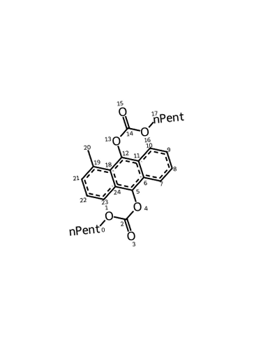 CCCCCOC(=O)Oc1c2ccccc2c(OC(=O)OCCCCC)c2c(C)cccc12